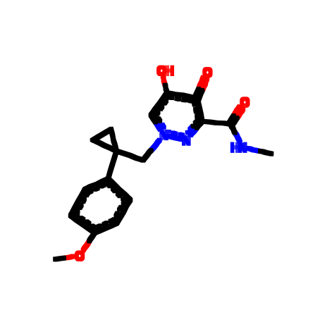 CNC(=O)c1nn(CC2(c3ccc(OC)cc3)CC2)cc(O)c1=O